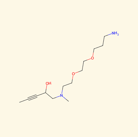 CC#CC(O)CN(C)CCOCCOCCCN